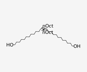 CCCCCCC[CH2][Sn]([CH2]CCCCCCC)([CH2]CCCCCCCCCCCO)[CH2]CCCCCCCCCCCO